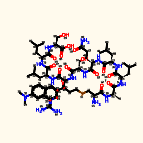 CC(C)C[C@H](NC(=O)[C@H](C)NC(=O)[C@@H](N)CSCCC(=O)c1ccc2cc(N(C)C)ccc2c1)C(=O)N[C@@H](CC(C)C)C(=O)N[C@@H](CCC(N)=O)C(=O)N[C@@H](CO)C(=O)N[C@@H](CCCN=C(N)N)C(=O)N[C@@H](CC(C)C)C(=O)N[C@@H](CC(C)C)C(=O)N[C@@H](CO)C(=O)O